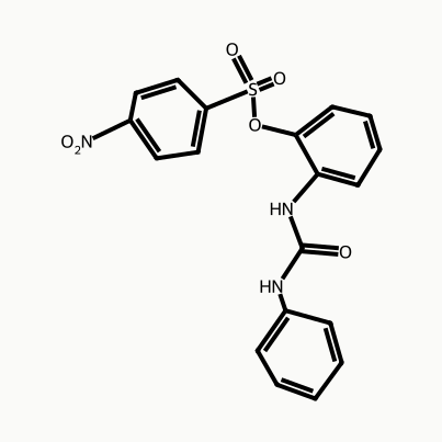 O=C(Nc1ccccc1)Nc1ccccc1OS(=O)(=O)c1ccc([N+](=O)[O-])cc1